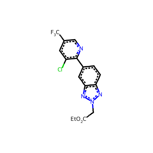 CCOC(=O)Cn1nc2ccc(-c3ncc(C(F)(F)F)cc3Cl)cc2n1